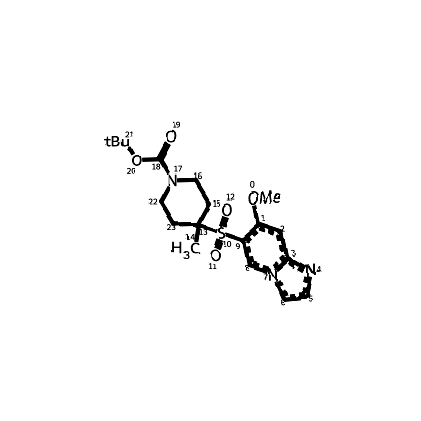 COc1cc2nccn2cc1S(=O)(=O)C1(C)CCN(C(=O)OC(C)(C)C)CC1